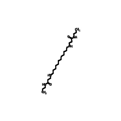 CCCNC(=O)CCNCCCCCCCCCCCCNCCC(=O)NCCC